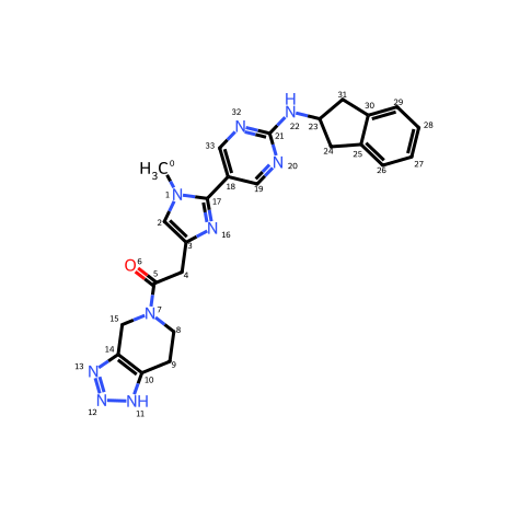 Cn1cc(CC(=O)N2CCc3[nH]nnc3C2)nc1-c1cnc(NC2Cc3ccccc3C2)nc1